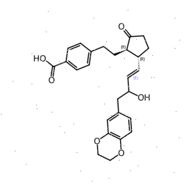 O=C(O)c1ccc(CC[C@H]2C(=O)CC[C@@H]2/C=C/C(O)Cc2ccc3c(c2)OCCO3)cc1